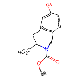 CC(C)(C)OC(=O)N1Cc2ccc(O)cc2CC1C(=O)O